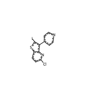 Clc1ccc2sc(I)c(-c3ccncc3)c2n1